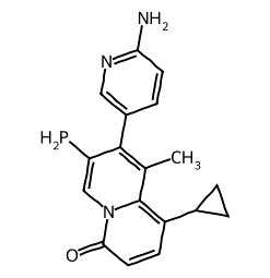 Cc1c(-c2ccc(N)nc2)c(P)cn2c(=O)ccc(C3CC3)c12